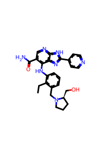 CCc1c(CN2CCC[C@@H]2CO)cccc1Nc1c(C(N)=O)cnc2[nH]c(-c3ccncc3)nc12